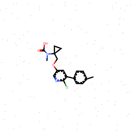 Cc1ccc(-c2cc(OCC3(N(C)C(=O)O)CC3)cnc2Cl)cc1